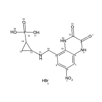 Br.O=c1[nH]c2cc([N+](=O)[O-])cc(CNC3CC3P(=O)(O)O)c2[nH]c1=O